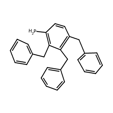 Pc1ccc(Cc2ccccc2)c(Cc2ccccc2)c1Cc1ccccc1